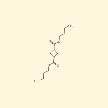 CCCCOC(=O)C1CN(C(=O)OCCCC)C1